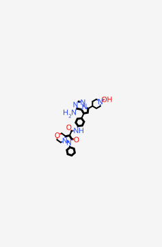 Nc1ncnn2c(C3CCN(O)CC3)cc(-c3ccc(NC(=O)c4c5n(n(-c6ccccc6)c4=O)CCOC5)cc3)c12